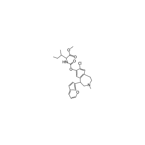 CCC(C)C(NC(=O)Oc1cc2c(cc1Cl)CCN(C)CC2c1ccc2cccoc1-2)C(=O)OC